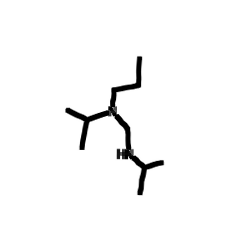 CCCN(CNC(C)C)C(C)C